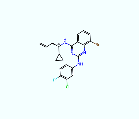 C=CC[C@@H](Nc1nc(Nc2ccc(F)c(Cl)c2)nc2c(Br)cccc12)C1CC1